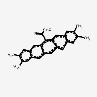 Cc1cc2cc3cc4cc5cc(C)c(C)cc5cc4c(C(=O)C=O)c3cc2cc1C